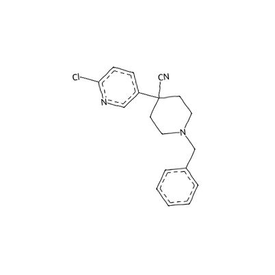 N#CC1(c2ccc(Cl)nc2)CCN(Cc2ccccc2)CC1